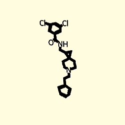 O=C(NCC1CC12CCN(CCc1ccccc1)CC2)c1cc(Cl)cc(Cl)c1